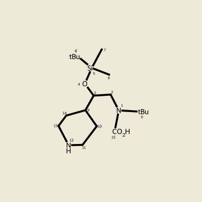 CC(C)(C)N(CC(O[Si](C)(C)C(C)(C)C)C1CCNCC1)C(=O)O